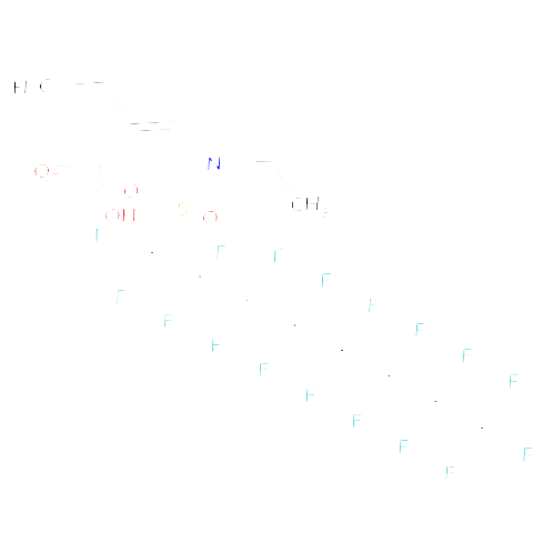 CCC(=CN(CC)S(=O)(=O)C(F)(F)C(F)(F)C(F)(F)C(F)(F)C(F)(F)C(F)(F)C(F)(F)C(F)(F)F)C(=O)O